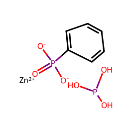 O=P([O-])([O-])c1ccccc1.OP(O)O.[Zn+2]